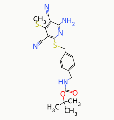 CSc1c(C#N)c(N)nc(SCc2ccc(CNC(=O)OC(C)(C)C)cc2)c1C#N